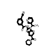 CC(c1cccnc1)n1c(NC(=O)c2cccc(C#N)c2)nc2cc(C(=O)N3CCCCC3)cnc21